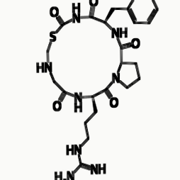 N=C(N)NCCC[C@H]1NC(=O)CNCSC(=O)NC(=O)[C@@H](Cc2ccccc2)NC(=O)C2CCCN2C1=O